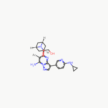 CC(=O)c1c([C@H]2C[C@@H]3C[C@H](C2)N3C(=O)CO)nc2c(-c3ccc(NC4CC4)nc3)cnn2c1N